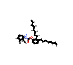 CCCCCCCCc1cccc(OC(=O)Nc2cccc(C)c2C)c1CCCCCCCC